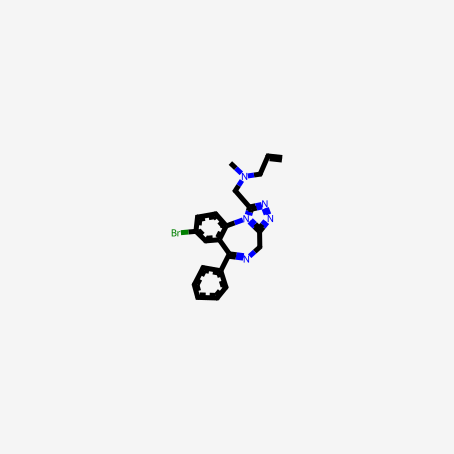 C=CCN(C)Cc1nnc2n1-c1ccc(Br)cc1C(c1ccccc1)=NC2